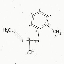 CC#CC(C)Sc1ccccc1C